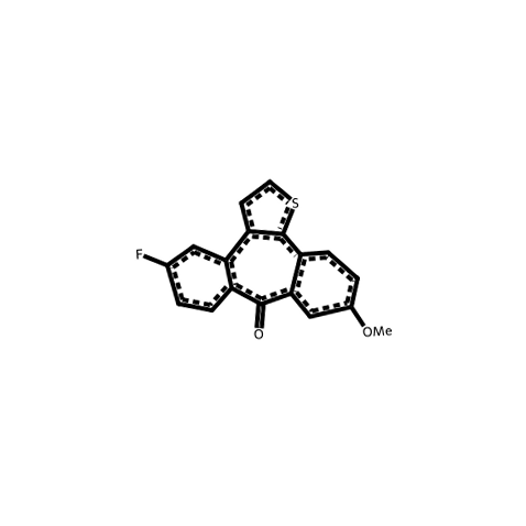 COc1ccc2c(c1)c(=O)c1ccc(F)cc1c1ccsc21